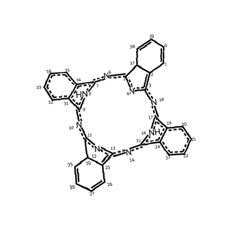 C1=CC2=c3nc(nc4[nH]c(nc5nc(nc6[nH]c(n3)c3ccccc63)=C3C=CC=CC35)c3ccccc43)C2C=C1